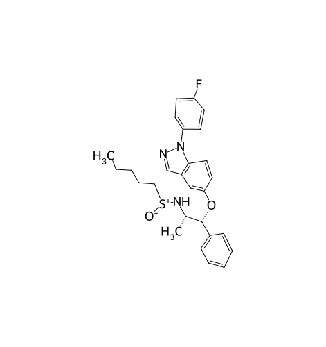 CCCCC[S+]([O-])N[C@@H](C)[C@H](Oc1ccc2c(cnn2-c2ccc(F)cc2)c1)c1ccccc1